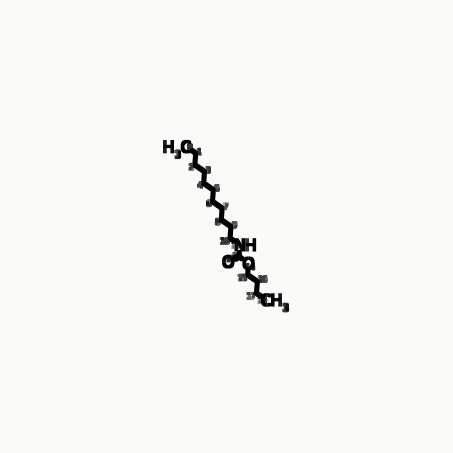 CCCCCCCCCCCNC(=O)OCCCC